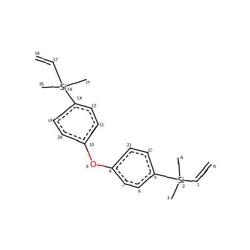 C=C[Si](C)(C)c1ccc(Oc2ccc([Si](C)(C)C=C)cc2)cc1